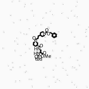 COC(=O)C(CNC(=O)[C@@H]1CCCN(C(=O)CCC2CCN(C(=O)OCc3ccccc3)CC2)C1)NC(=O)OC(C)(C)C